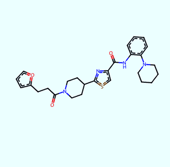 O=C(Nc1ccccc1N1CCCCC1)c1csc(C2CCN(C(=O)CCc3ccco3)CC2)n1